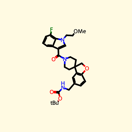 COCCn1cc(C(=O)N2CCC3(CC2)COc2ccc(CNC(=O)OC(C)(C)C)cc23)c2cccc(F)c21